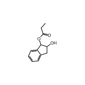 CCC(=O)OC1c2ccccc2CC1O